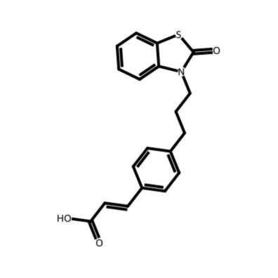 O=C(O)C=Cc1ccc(CCCn2c(=O)sc3ccccc32)cc1